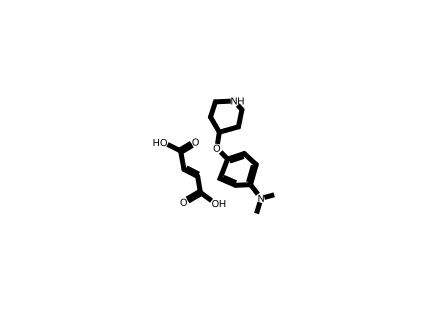 CN(C)c1ccc(OC2CCNCC2)cc1.O=C(O)C=CC(=O)O